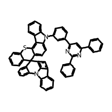 c1ccc(-c2cc(-c3cccc(-n4c5ccccc5c5c6c(ccc54)C4(c5ccccc5S6)c5ccccc5-n5c6ccccc6c6cccc4c65)c3)nc(-c3ccccc3)n2)cc1